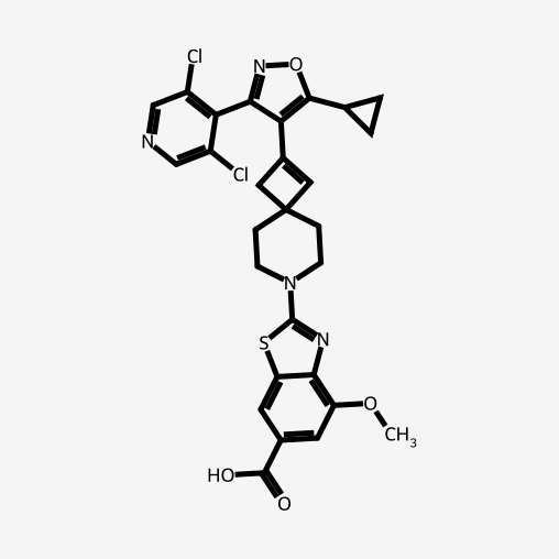 COc1cc(C(=O)O)cc2sc(N3CCC4(C=C(c5c(-c6c(Cl)cncc6Cl)noc5C5CC5)C4)CC3)nc12